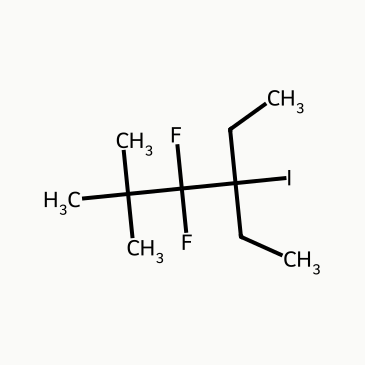 CCC(I)(CC)C(F)(F)C(C)(C)C